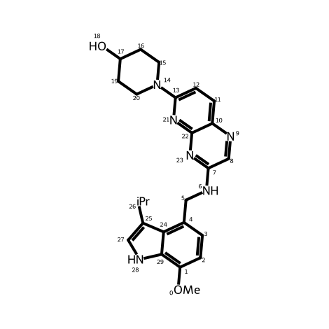 COc1ccc(CNc2cnc3ccc(N4CCC(O)CC4)nc3n2)c2c(C(C)C)c[nH]c12